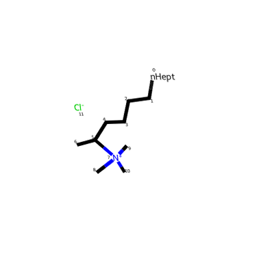 CCCCCCCCCCCC(C)[N+](C)(C)C.[Cl-]